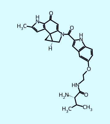 Cc1cc2c([nH]1)C(=O)C=C1N(C(=O)c3cc4cc(OCCNC(=O)[C@@H](N)C(C)C)ccc4[nH]3)C[C@H]3C[C@]123